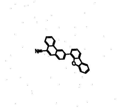 N#Cc1cc2ccc(-c3cccc4c3oc3ccccc34)cc2c2ccccc12